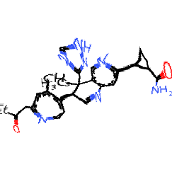 CCC(=O)c1cc(C)c(C2C=Nc3cc(C4CC4C(N)=O)ncc3C2(C)c2nc[nH]n2)cn1